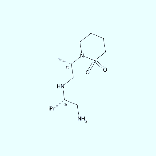 CC(C)[C@@H](CN)NC[C@H](C)N1CCCCS1(=O)=O